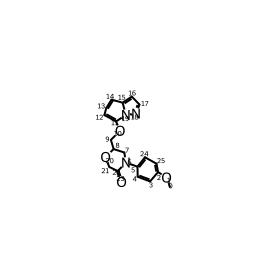 COc1ccc(N2CC(COc3cccc4ccnn34)OCC2=O)cc1